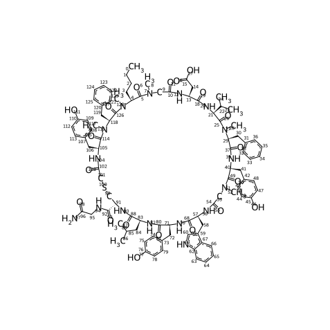 CCCC[C@H]1C(=O)N(C)CC(=O)N[C@@H](CC(=O)O)C(=O)N[C@@H](C(C)C)C(=O)N(C)[C@@H](Cc2ccccc2)C(=O)N[C@@H](Cc2ccc(O)cc2)C(=O)N(C)CC(=O)N[C@@H](Cc2c[nH]c3ccccc23)C(=O)N[C@@H](Cc2ccc(O)cc2)C(=O)N[C@@H](CC(C)C)C(=O)N[C@H](C(=O)NCC(N)=O)CSCC(=O)N[C@@H](Cc2ccc(O)cc2)C(=O)N(C)[C@@H](Cc2ccccc2)C(=O)N1C